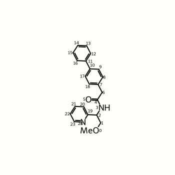 COCC(NC(=O)Cc1ccc(-c2ccccc2)cc1)c1ccccn1